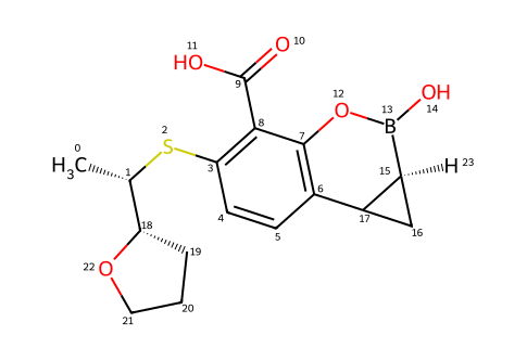 C[C@H](Sc1ccc2c(c1C(=O)O)OB(O)[C@H]1CC21)[C@@H]1CCCO1